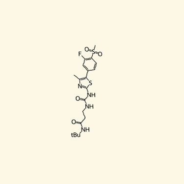 Cc1nc(NC(=O)NCCC(=O)NC(C)(C)C)sc1-c1ccc(S(C)(=O)=O)c(F)c1